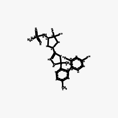 Cc1ccc(C2(C)CC(N3C[C@@H](NS(C)(=O)=O)C(F)(F)C3)=NO2)c(-c2ncc(F)cc2F)c1